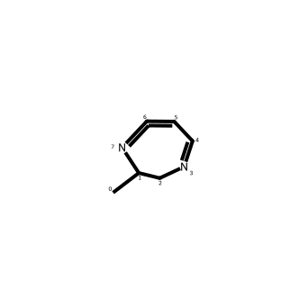 CC1CN=CC=C=N1